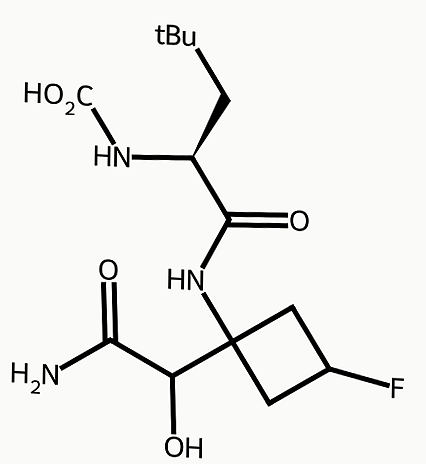 CC(C)(C)C[C@H](NC(=O)O)C(=O)NC1(C(O)C(N)=O)CC(F)C1